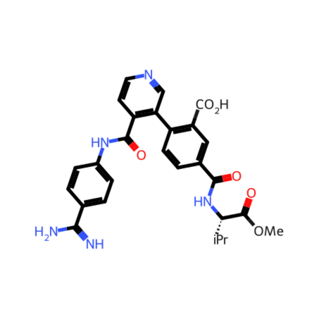 COC(=O)[C@@H](NC(=O)c1ccc(-c2cnccc2C(=O)Nc2ccc(C(=N)N)cc2)c(C(=O)O)c1)C(C)C